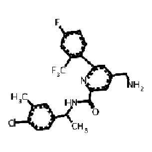 Cc1cc(C(C)NC(=O)c2cc(CN)cc(-c3ccc(F)cc3C(F)(F)F)n2)ccc1Cl